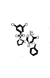 NC(=O)[C@H](Cc1ccccc1)NC(=O)[C@@H]1CCCN1S(=O)(=O)c1cc(Cl)cc(Cl)c1